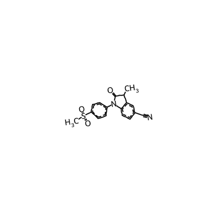 CC1C(=O)N(c2ccc(S(C)(=O)=O)cc2)c2ccc(C#N)cc21